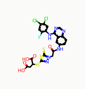 O=C(O)CC(Sc1nn(CC(=O)Nc2ccc3ncnc(Nc4cc(Cl)c(Cl)cc4F)c3c2)c(=S)s1)C(=O)O